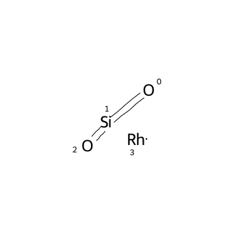 O=[Si]=O.[Rh]